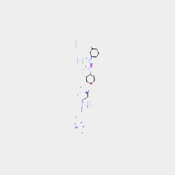 CN1CCN(CCCNc2cc(Oc3ccc4c(c3)CCN4C(=O)Nc3cccc(C(F)(F)F)c3)ncn2)CC1